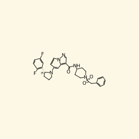 O=C(NC1CCN(S(=O)(=O)Cc2ccccc2)CC1)c1cnn2ccc(N3CCC[C@@H]3c3cc(F)ccc3F)cc12